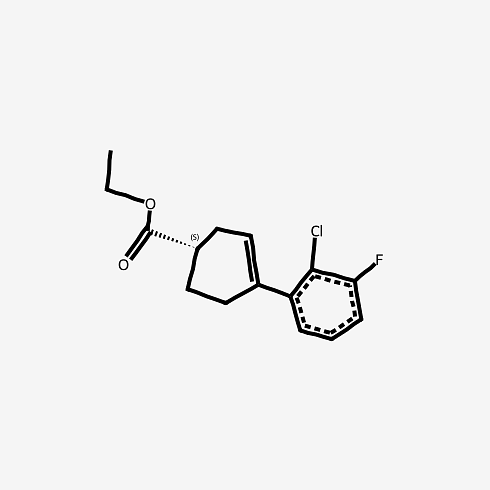 CCOC(=O)[C@@H]1CC=C(c2cccc(F)c2Cl)CC1